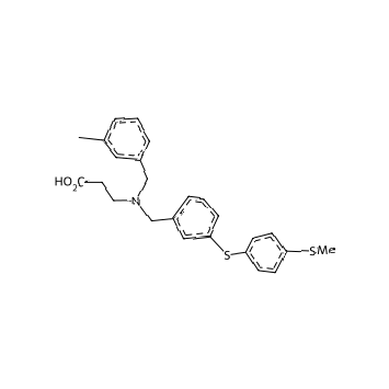 CSc1ccc(Sc2cccc(CN(CCC(=O)O)Cc3cccc(C)c3)c2)cc1